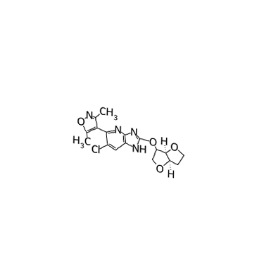 Cc1noc(C)c1-c1nc2nc(OC3CO[C@@H]4CCO[C@H]34)[nH]c2cc1Cl